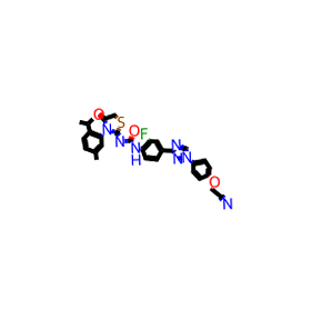 Cc1ccc(C(C)C)c(N2C(=O)CSC2=NC(=O)Nc2ccc(-c3ncn(-c4ccc(OCC#N)cc4)n3)cc2F)c1